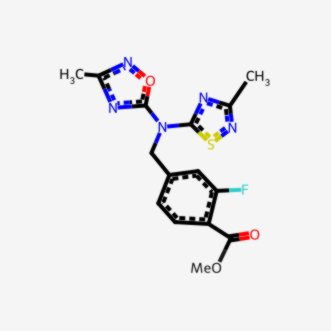 COC(=O)c1ccc(CN(c2nc(C)no2)c2nc(C)ns2)cc1F